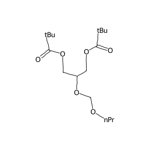 CCCOCOC(COC(=O)C(C)(C)C)COC(=O)C(C)(C)C